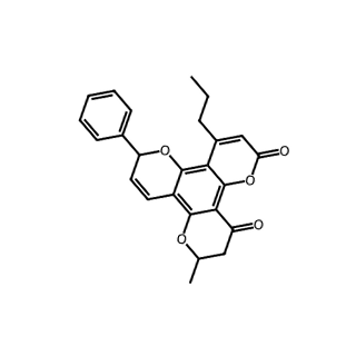 CCCc1cc(=O)oc2c3c(c4c(c12)OC(c1ccccc1)C=C4)OC(C)CC3=O